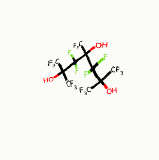 OC(C(F)(F)F)(C(F)(F)F)C(F)(F)C(O)(C(F)(F)F)C(F)(F)C(O)(C(F)(F)F)C(F)(F)F